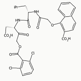 CC(C)C[C@H](NC(=O)COc1c(C(=O)O)ccc2ccccc12)C(=O)N[C@@H](CC(=O)O)C(=O)COC(=O)c1c(Cl)cccc1Cl